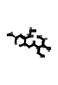 CC/C=C(NCC(C)/C(=C\[C@H](C)CCCC)NC=O)\C(C#N)=N/CC